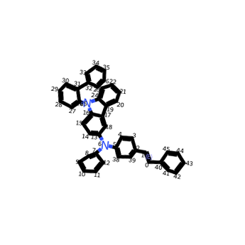 C(=C\c1ccc(N(c2ccccc2)c2ccc3c(c2)c2ccccc2n3-c2ccccc2-c2ccccc2)cc1)/c1ccccc1